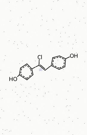 Oc1ccc(/C=C(\Cl)c2ccc(O)cc2)cc1